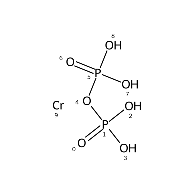 O=P(O)(O)OP(=O)(O)O.[Cr]